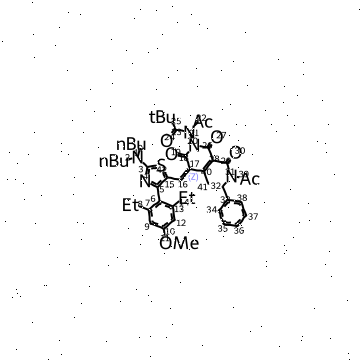 CCCCN(CCCC)c1nc(-c2c(CC)cc(OC)cc2CC)c(/C=C2\C(=O)N(N(C(C)=O)C(=O)C(C)(C)C)C(=O)C(C(=O)N(Cc3ccccc3)C(C)=O)=C2C)s1